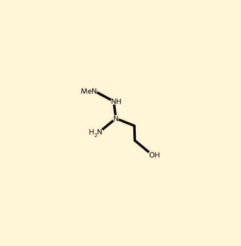 CNNN(N)CCO